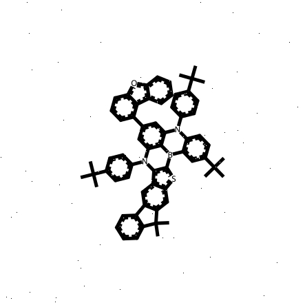 CC(C)(C)c1ccc(N2c3ccc(C(C)(C)C)cc3B3c4sc5cc6c(cc5c4N(c4ccc(C(C)(C)C)cc4)c4cc(-c5cccc7oc8ccccc8c57)cc2c43)-c2ccccc2C6(C)C)cc1